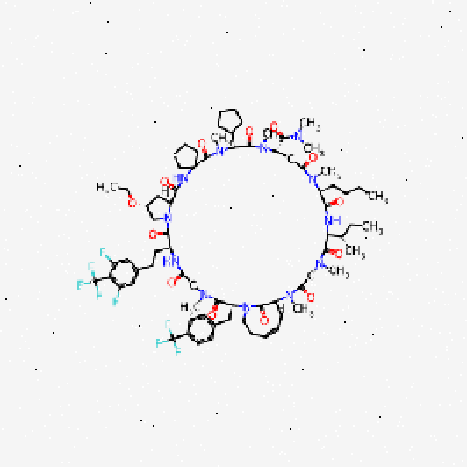 CCCC[C@H]1C(=O)N[C@@H]([C@@H](C)CC)C(=O)N(C)CC(=O)N(C)[C@H]2C/C=C\CCN(C2=O)[C@@H](Cc2ccc(C(F)(F)F)cc2)C(=O)N(C)CC(=O)N[C@@H](CCc2cc(F)c(C(F)(F)F)c(F)c2)C(=O)N2C[C@H](OCC)C[C@H]2C(=O)NC2(CCCC2)C(=O)N(C)[C@@H](C2CCCC2)C(=O)N(C)[C@H](C(=O)N(C)C)CC(=O)N1C